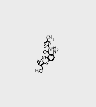 Cc1csc(NC(=O)c2cc(Sc3c(CO)cnn3C)ccc2N)n1